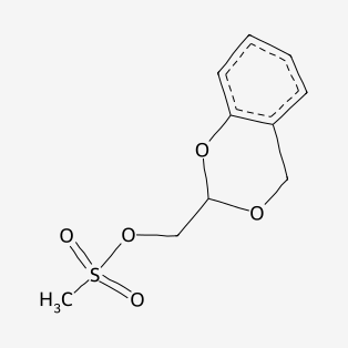 CS(=O)(=O)OCC1OCc2ccccc2O1